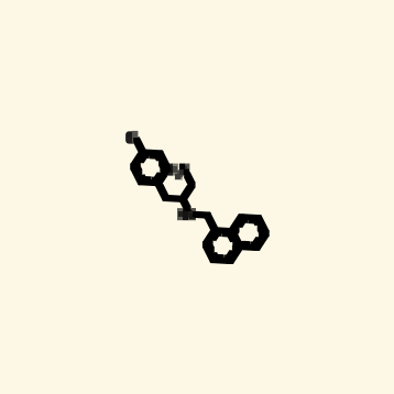 NCC(Cc1ccc(Cl)cc1)NCc1cccc2ccccc12